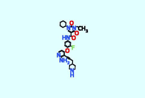 CCn1c(=O)c(C(=O)Nc2ccc(Oc3ccnc(N)c3C#CCC3CCNCC3)c(F)c2)cn(C2CCCCC2)c1=O